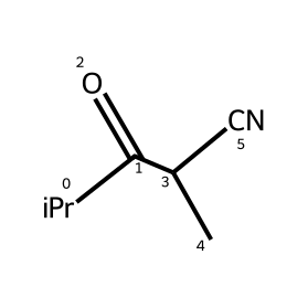 CC(C)C(=O)C(C)C#N